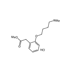 CNCCCCOc1ccccc1CC(=O)OC.Cl